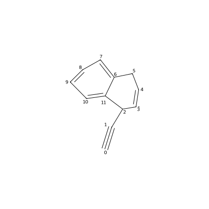 C#CC1[C]=CCc2ccccc21